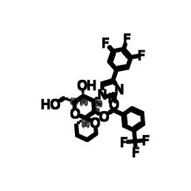 O=C(O[C@@H]1[C@@H](n2cc(-c3cc(F)c(F)c(F)c3)nn2)[C@@H](O)[C@@H](CO)O[C@@]12CCCCO2)c1cccc(C(F)(F)F)c1